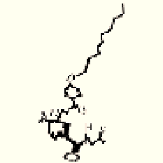 CCCCCCCCCCOc1ccc(C(=O)Nc2cc(C(=O)NCC(C)=S)ccc2N(C)C)cc1